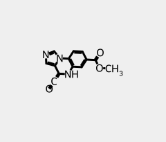 COC(=O)c1ccc2c(c1)NC(=C=O)c1cncn1-2